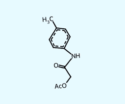 CC(=O)OCC(=O)Nc1ccc(C)cc1